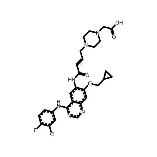 O=C(O)CN1CCN(C/C=C/C(=O)Nc2cc3c(Nc4ccc(F)c(Cl)c4)ncnc3cc2OCC2CC2)CC1